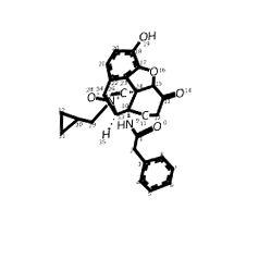 O=C(Cc1ccccc1)N[C@@]12CCC(=O)C3Oc4c(O)ccc5c4[C@@]31CC[N+]([O-])(CC1CC1)[C@@H]2C5